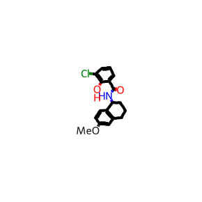 COc1ccc2c(c1)CCCC2NC(=O)c1cccc(Cl)c1O